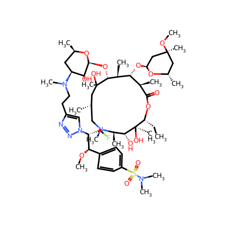 CC[C@H]1OC(=O)[C@H](C)[C@@H](O[C@H]2C[C@@](C)(OC)C[C@H](C)O2)[C@H](C)[C@@H](O[C@@H]2O[C@H](C)C[C@H](N(C)CCc3cn([C@H](CF)[C@H](OC)c4ccc(S(=O)(=O)N(C)C)cc4)nn3)[C@H]2O)[C@](C)(O)C[C@@H](C)CN(C)[C@H](C)[C@@H](O)[C@]1(C)O